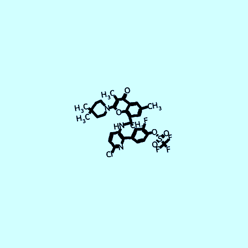 Cc1cc([C@@H](C)Nc2ccc(Cl)nc2-c2ccc(OS(=O)(=O)C(F)(F)F)c(F)c2)c2oc(N3CCC(C)(C)CC3)c(C)c(=O)c2c1